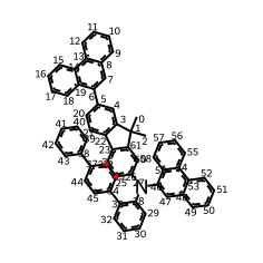 CC1(C)c2cc(-c3cc4ccccc4c4ccccc34)ccc2-c2ccc(N(c3ccccc3-c3ccc(-c4ccccc4)cc3)c3cc4ccccc4c4ccccc34)cc21